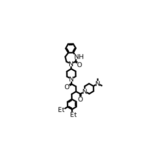 CCc1ccc(CC(CC(=O)N2CCC(N3CCc4ccccc4NC3=O)CC2)C(=O)N2CCC(N(C)C)CC2)cc1CC